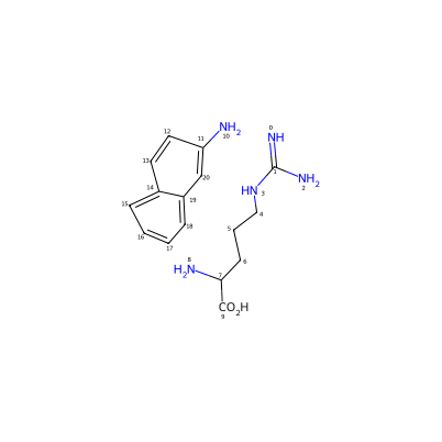 N=C(N)NCCCC(N)C(=O)O.Nc1ccc2ccccc2c1